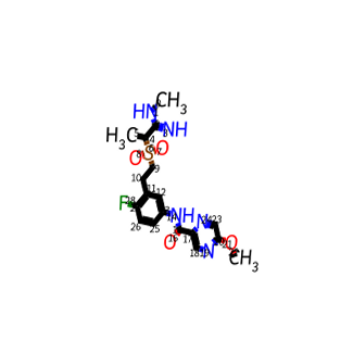 CNC(=N)C(C)S(=O)(=O)CCc1cc(NC(=O)c2cnc(OC)cn2)ccc1F